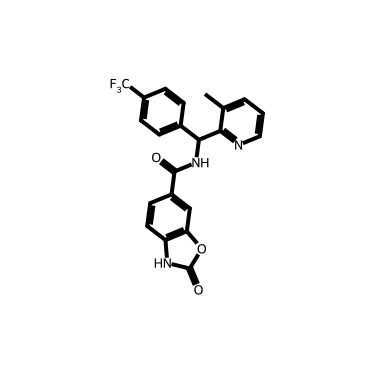 Cc1cccnc1C(NC(=O)c1ccc2[nH]c(=O)oc2c1)c1ccc(C(F)(F)F)cc1